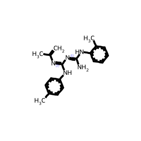 C=C(C)/N=C(\N=C(/N)Nc1ccccc1C)Nc1ccc(C)cc1